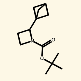 CC(C)(C)OC(=O)N1CCC1C12CC(C1)C2